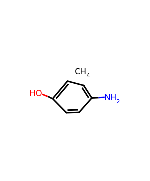 C.Nc1ccc(O)cc1